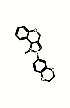 CN1C2C(=CN1c1ccc3c(c1)OCCO3)COc1ccccc12